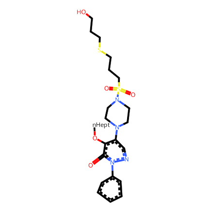 CCCCCCCOc1c(N2CCN(S(=O)(=O)CCCSCCCO)CC2)cnn(-c2ccccc2)c1=O